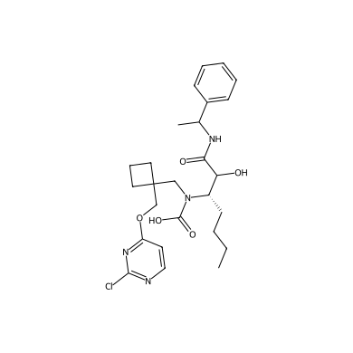 CCCC[C@@H](C(O)C(=O)NC(C)c1ccccc1)N(CC1(COc2ccnc(Cl)n2)CCC1)C(=O)O